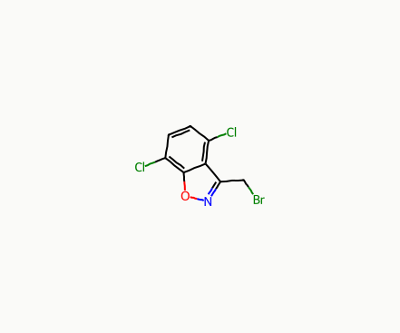 Clc1ccc(Cl)c2c(CBr)noc12